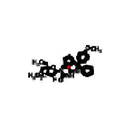 CC[C@@]1(COC)O[C@@H](N2C=CC(NC(c3ccccc3)(c3ccccc3)c3ccc(OC)cc3)NC2=O)[C@H](F)[C@@H]1C